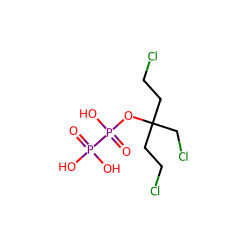 O=P(O)(O)P(=O)(O)OC(CCl)(CCCl)CCCl